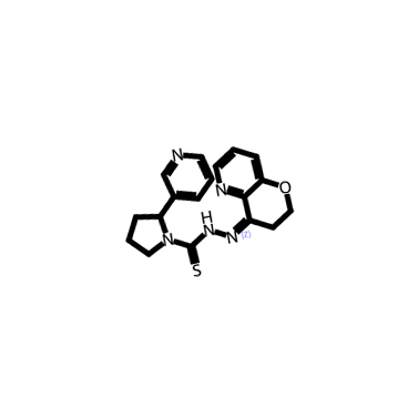 S=C(N/N=C1/CCOc2cccnc21)N1CCCC1c1cccnc1